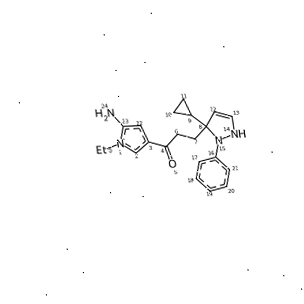 CCn1cc(C(=O)CCC2(C3CC3)C=CNN2c2ccccc2)cc1N